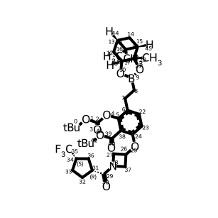 CC(C)(C)OC(=O)Oc1c(CCB2O[C@@H]3C[C@@H]4C[C@@H](C4(C)C)[C@]3(C)O2)ccc(OC2CN(C(=O)[C@@H]3CC[C@H](C(F)(F)F)C3)C2)c1C(=O)OC(C)(C)C